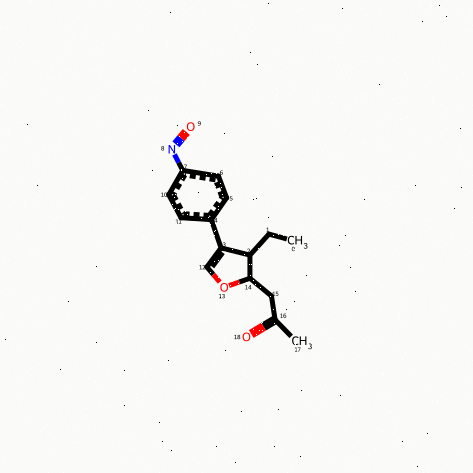 CCC1C(c2ccc(N=O)cc2)=COC1CC(C)=O